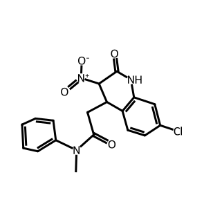 CN(C(=O)CC1c2ccc(Cl)cc2NC(=O)C1[N+](=O)[O-])c1ccccc1